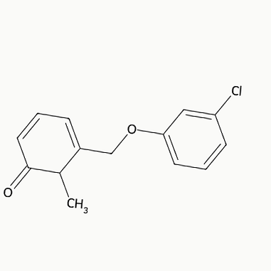 CC1C(=O)C=CC=C1COc1cccc(Cl)c1